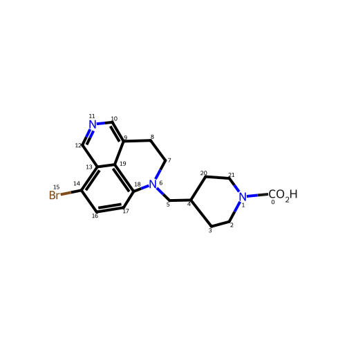 O=C(O)N1CCC(CN2CCc3cncc4c(Br)ccc2c34)CC1